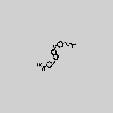 CC(C)COC[C@H]1CC[C@@H](Oc2ccc3cc(CN4CCC(C(=O)O)CC4)ccc3c2)CC1